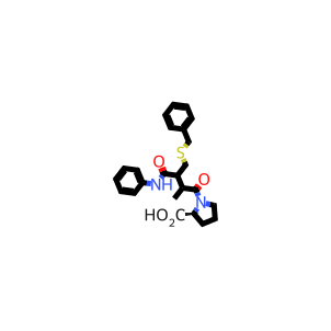 CC(C(=O)N1CCC[C@H]1C(=O)O)C(CSCc1ccccc1)C(=O)Nc1ccccc1